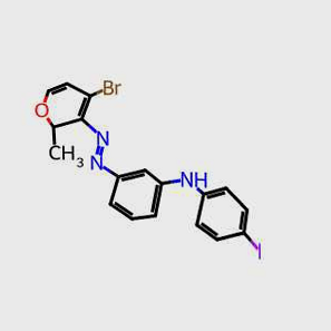 CC1OC=CC(Br)=C1N=Nc1cccc(Nc2ccc(I)cc2)c1